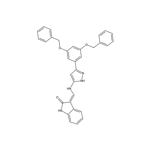 O=C1Nc2ccccc2C1=CNc1cc(-c2cc(OCc3ccccc3)cc(OCc3ccccc3)c2)n[nH]1